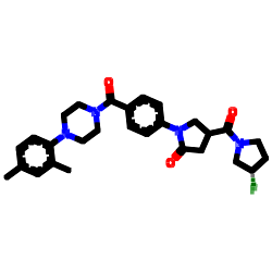 Cc1ccc(N2CCN(C(=O)c3ccc(N4CC(C(=O)N5CC[C@H](F)C5)CC4=O)cc3)CC2)c(C)c1